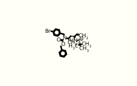 C=C[C@H](C[C@H](C)N(Cc1ccc(Br)cc1)C(=O)OCc1ccccc1)N[S@+]([O-])C(C)(C)C